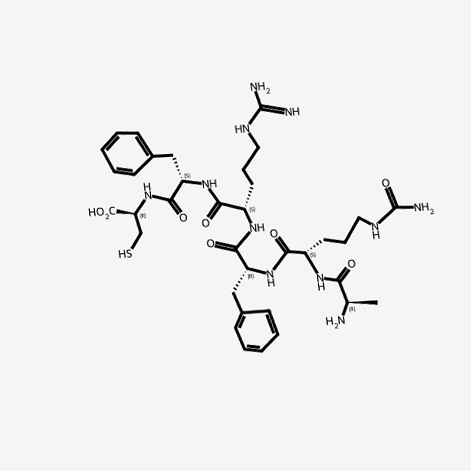 C[C@@H](N)C(=O)N[C@@H](CCCNC(N)=O)C(=O)N[C@H](Cc1ccccc1)C(=O)N[C@@H](CCCNC(=N)N)C(=O)N[C@@H](Cc1ccccc1)C(=O)N[C@@H](CS)C(=O)O